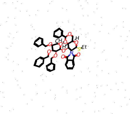 CCS[C@@H]1O[C@@H]2COC(c3ccccc3)O[C@H]2[C@H](O[C@@H]2O[C@@H](C)[C@@H](OCc3ccccc3)[C@@H](OCc3ccccc3)[C@@H]2OCc2ccccc2)[C@H]1N1C(=O)c2ccccc2C1=O